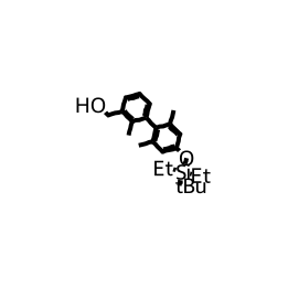 CC[Si](CC)(Oc1cc(C)c(-c2cccc(CO)c2C)c(C)c1)C(C)(C)C